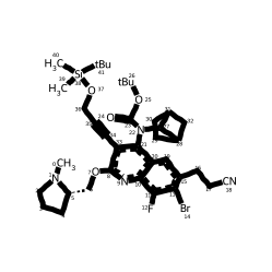 CN1CCC[C@H]1COc1nc2c(F)c(Br)c(CCC#N)cc2c(N(C(=O)OC(C)(C)C)C2C3CCC2C3)c1C#CCO[Si](C)(C)C(C)(C)C